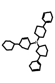 C1=CCCC(C2CCCC(N(C3C=CC(C4CCCCC4)CC3)C3CCC(C4=CCCC=C4)CC3)C2)=C1